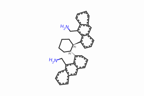 NCc1c2ccccc2cc2cccc([C@@H]3CCCC[C@H]3c3cccc4cc5ccccc5c(CN)c34)c12